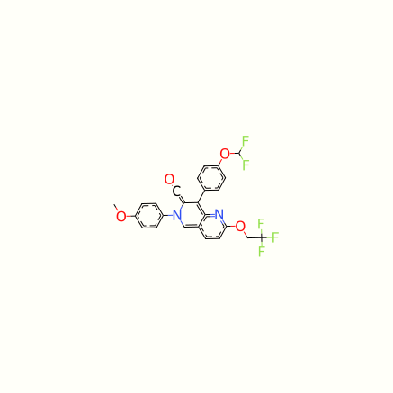 COc1ccc(N2C=c3ccc(OCC(F)(F)F)nc3=C(c3ccc(OC(F)F)cc3)C2=C=O)cc1